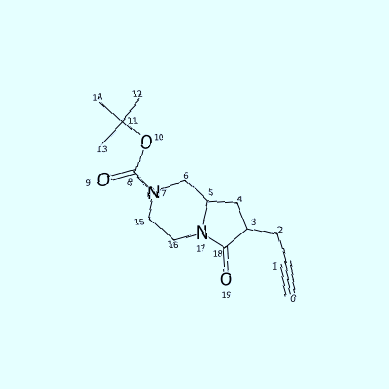 C#CCC1CC2CN(C(=O)OC(C)(C)C)CCN2C1=O